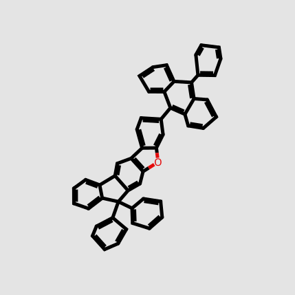 c1ccc(-c2c3ccccc3c(-c3ccc4c(c3)oc3cc5c(cc34)-c3ccccc3C5(c3ccccc3)c3ccccc3)c3ccccc23)cc1